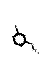 Fc1[c]c(OC(F)(F)F)ccc1